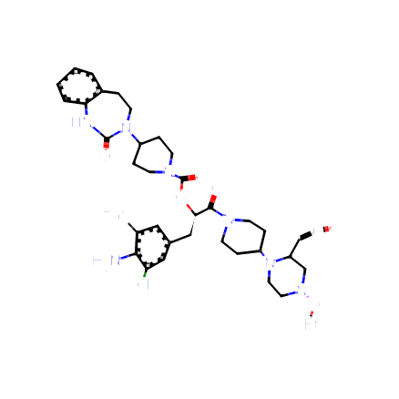 CCON1CCN(C2CCN(C(=O)[C@@H](Cc3cc(Cl)c(N)c(C(F)(F)F)c3)OC(=O)N3CCC(N4CCc5ccccc5NC4=O)CC3)CC2)C(C=C=O)C1